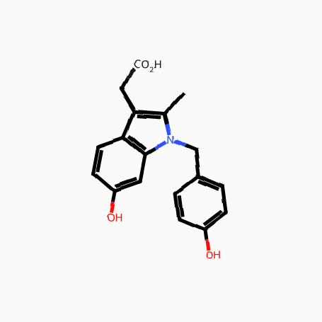 Cc1c(CC(=O)O)c2ccc(O)cc2n1Cc1ccc(O)cc1